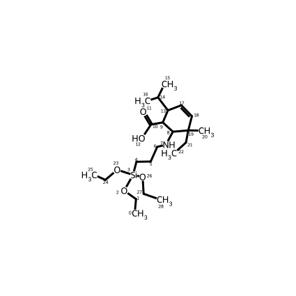 CCO[Si](CCCNC1C(C(=O)O)C(C(C)C)C=CC1(C)CC)(OCC)OCC